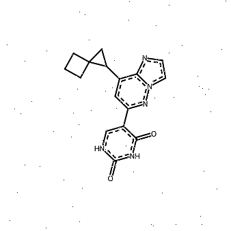 O=c1[nH]cc(-c2cc(C3CC34CCC4)c3nccn3n2)c(=O)[nH]1